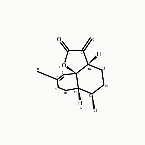 C=C1C(=O)O[C@]23C=C(C)CC[C@H]2[C@H](C)CC[C@@H]13